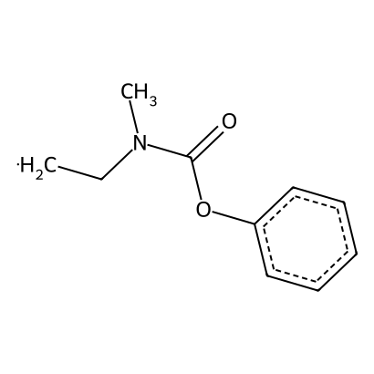 [CH2]CN(C)C(=O)Oc1ccccc1